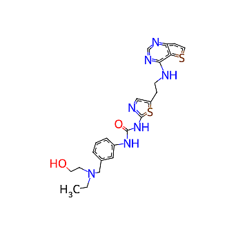 CCN(CCO)Cc1cccc(NC(=O)Nc2ncc(CCNc3ncnc4ccsc34)s2)c1